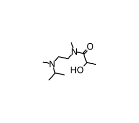 CC(O)C(=O)N(C)CCN(C)C(C)C